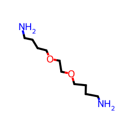 NCCCCOCCOCCCCN